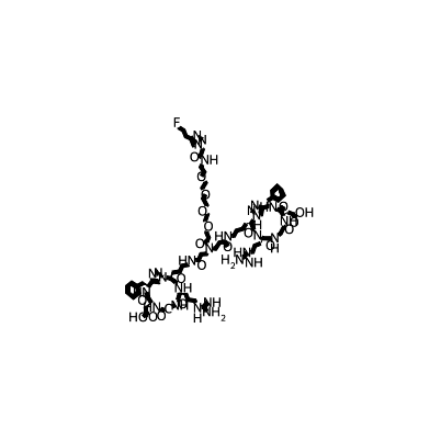 N=C(N)NCCC[C@@H]1NC(=O)[C@H](CCCCNC(=O)CCN(CCC(=O)NCCCC[C@H]2C(=O)N[C@@H](CCCNC(=N)N)C(=O)NCC(=O)N[C@@H](CC(=O)O)C(=O)N[C@@H](Cc3ccccc3)c3cn2nn3)C(=O)CCOCCOCCOCCOCCNC(=O)Cn2cc(CCCF)nn2)n2cc(nn2)[C@H](Cc2ccccc2)NC(=O)[C@H](CC(=O)O)NC(=O)CNC1=O